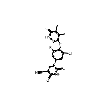 Cc1c(Oc2c(F)cc(-n3nc(C#N)c(=O)[nH]c3=O)cc2Cl)n[nH]c(=O)c1C